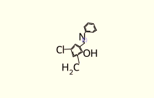 C=Cc1cc(Cl)cc(/C=N/c2ccccc2)c1O